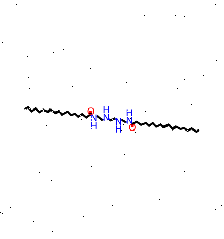 CCCCCCC=CC=CCCCCCCCC(=O)NCCNCCNCCNC(=O)CCCCCCCC=CC=CCCCCCC